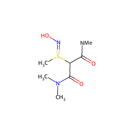 CNC(=O)C(C(=O)N(C)C)S(C)=NO